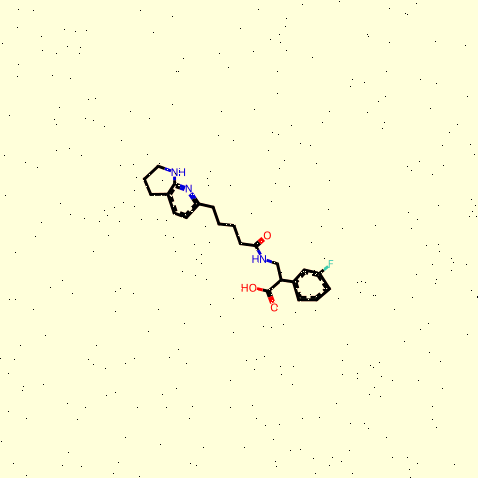 O=C(CCCCc1ccc2c(n1)NCCC2)NCC(C(=O)O)c1cccc(F)c1